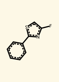 Fc1csc(-c2ccccc2)n1